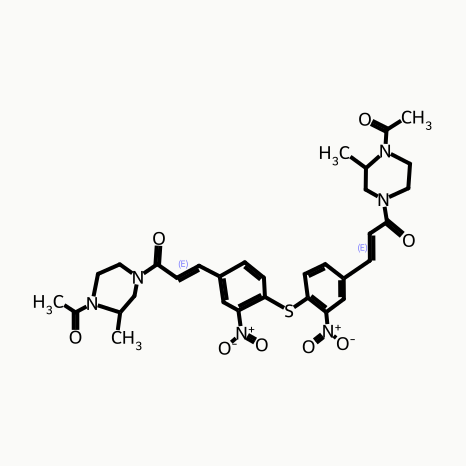 CC(=O)N1CCN(C(=O)/C=C/c2ccc(Sc3ccc(/C=C/C(=O)N4CCN(C(C)=O)C(C)C4)cc3[N+](=O)[O-])c([N+](=O)[O-])c2)CC1C